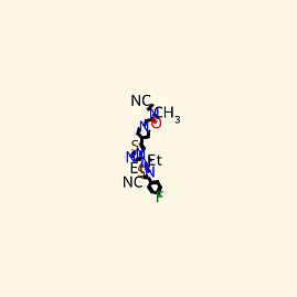 CCc1nc2sc(C3CCN(CC(=O)N(C)CCC#N)CC3)cn2c1N(CC)c1nc(-c2ccc(F)cc2)c(C#N)s1